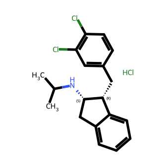 CC(C)N[C@H]1Cc2ccccc2[C@H]1Cc1ccc(Cl)c(Cl)c1.Cl